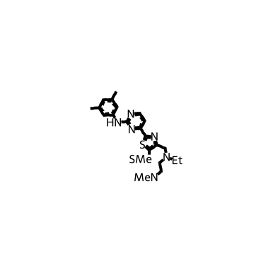 CCN(CCNC)Cc1nc(-c2ccnc(Nc3cc(C)cc(C)c3)n2)sc1SC